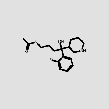 CC(=O)NCCCC(O)(c1ccccc1F)C1CCCNC1